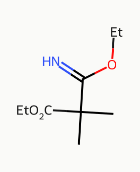 CCOC(=N)C(C)(C)C(=O)OCC